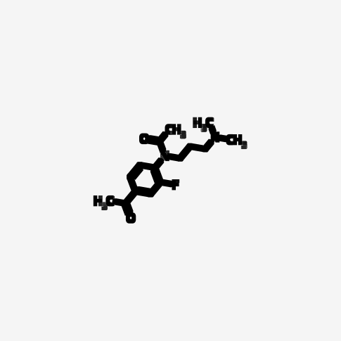 CC(=O)c1ccc(N(CCCN(C)C)C(C)=O)c(F)c1